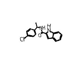 CC(NC(=O)c1cc2ccccc2[nH]1)c1ccc(Cl)cc1